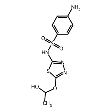 CC(O)Oc1nnc(NS(=O)(=O)c2ccc(N)cc2)s1